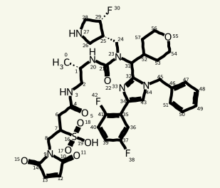 C[C@@H](CNC(=O)CC(CN1C(=O)C=CC1=O)S(=O)(=O)O)NC(=O)N(C[C@@H]1CNC[C@@H]1F)C(c1nc(-c2cc(F)ccc2F)cn1Cc1ccccc1)C1CCOCC1